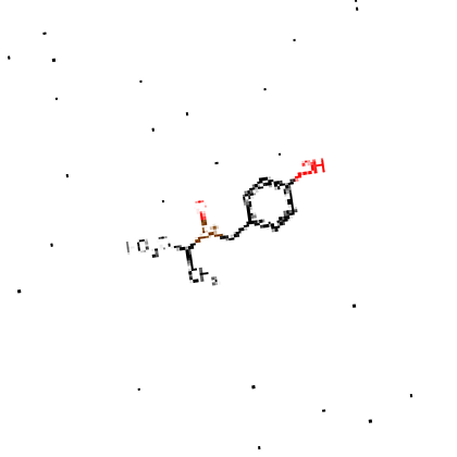 CC(C(=O)O)[S+]([O-])Cc1ccc(O)cc1